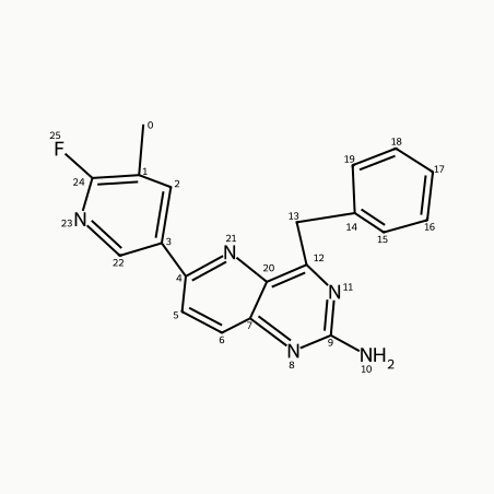 Cc1cc(-c2ccc3nc(N)nc(Cc4ccccc4)c3n2)cnc1F